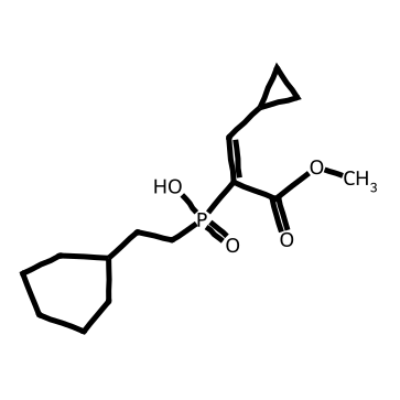 COC(=O)C(=CC1CC1)P(=O)(O)CCC1CCCCC1